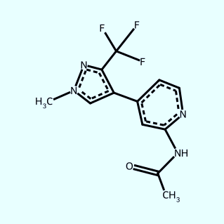 CC(=O)Nc1cc(-c2cn(C)nc2C(F)(F)F)ccn1